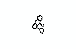 O=C1c2ccccc2Cc2cccc(C3CCCC3)c21